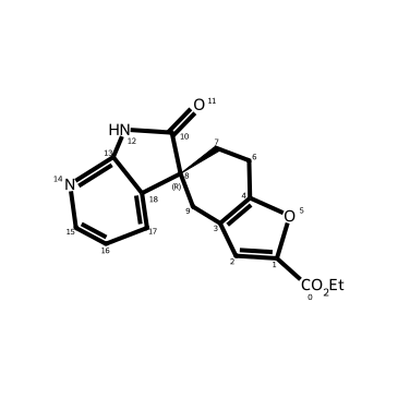 CCOC(=O)c1cc2c(o1)CC[C@]1(C2)C(=O)Nc2ncccc21